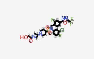 O=C(CO)N1CC(N2CCC(S(=O)(=O)N(Cc3ccc(-c4nnc(C(F)F)o4)cc3F)c3ccc(F)c(Cl)c3)CC2)C1